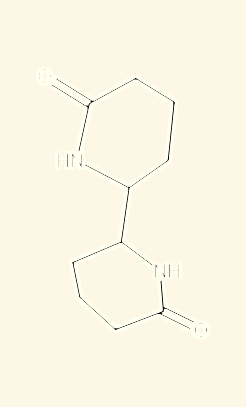 O=C1CCCC(C2CCCC(=O)N2)N1